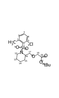 Cc1cccc(Cl)c1S(=O)(=O)N1CCCCC1COCC(=O)OC(C)(C)C